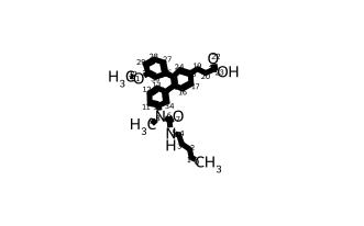 CCCCCNC(=O)N(C)c1cccc(-c2ccc(CCC(=O)O)cc2-c2cccc(OC)c2)c1